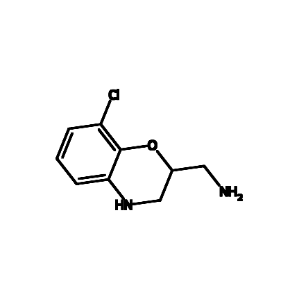 NCC1CNc2cccc(Cl)c2O1